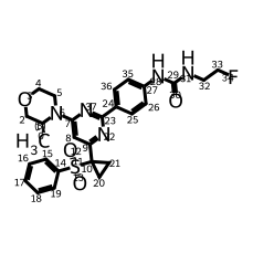 C[C@H]1COCCN1c1cc(C2(S(=O)(=O)c3ccccc3)CC2)nc(-c2ccc(NC(=O)NCCF)cc2)n1